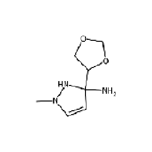 CN1C=CC(N)(C2COCO2)N1